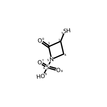 O=C1C(S)CN1S(=O)(=O)O